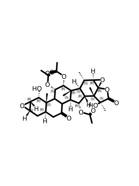 CC(=O)O[C@H]1[C@@H]2[C@H]([C@H](C)[C@H]3O[C@]34OC(=O)[C@@](C)(O)[C@]24C)[C@]2(C)[C@@H]1C1C(=O)C[C@H]3C[C@@H]4O[C@@H]4[C@H](O)[C@]3(C)C1[C@H](OC(C)=O)[C@@H]2OC(C)=O